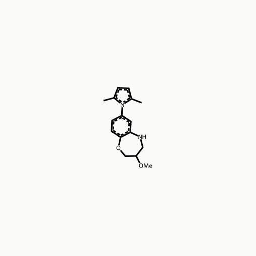 COC1CNc2cc(-n3c(C)ccc3C)ccc2OC1